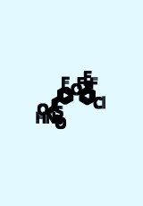 O=C1NC(=O)/C(=C/c2ccc(Oc3ccc(Cl)cc3C(F)(F)F)c(F)c2)S1